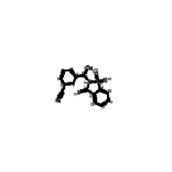 CC(c1cccc(C#N)c1)N1C(=O)c2ccccc2S1(=O)=O